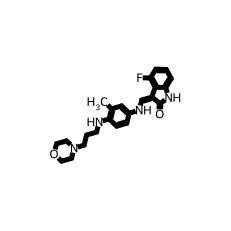 Cc1cc(NC=C2C(=O)Nc3cccc(F)c32)ccc1NCCCN1CCOCC1